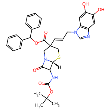 CC(C)(C)OC(=O)NC1C(=O)N2CC(C=CCn3cnc4cc(O)c(O)cc43)(C(=O)OC(c3ccccc3)c3ccccc3)CS[C@H]12